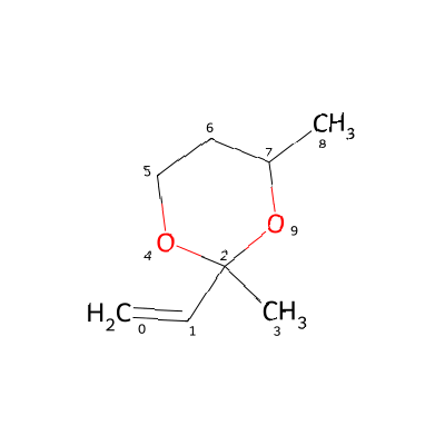 C=CC1(C)OCCC(C)O1